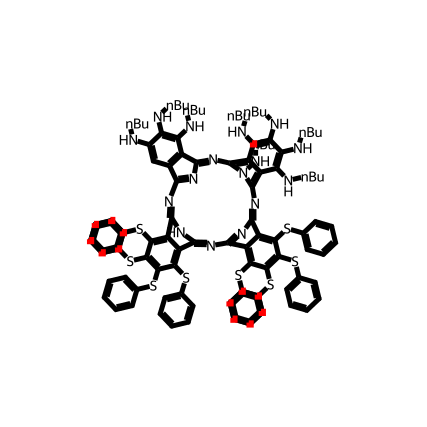 CCCCNc1cc2c(c(NCCCC)c1NCCCC)-c1nc-2nc2[nH]c(nc3nc(nc4c5c(NCCCC)c(NCCCC)c(NCCCC)c(NCCCC)c5c(n1)n4NCCCC)-c1c(Sc4ccccc4)c(Sc4ccccc4)c(Sc4ccccc4)c(Sc4ccccc4)c1-3)c1c(Sc3ccccc3)c(Sc3ccccc3)c(Sc3ccccc3)c(Sc3ccccc3)c21